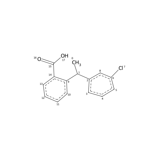 CC(c1cccc(Cl)c1)c1ccccc1C(=O)O